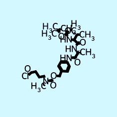 CC(C)C(NC(=O)OC(C)(C)C)C(=O)N[C@@H](C)C(=O)Nc1ccc(COC(=O)N(C)CCCC(=O)Cl)cc1